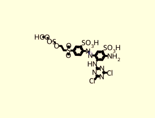 Nc1cc(Nc2nc(Cl)nc(Cl)n2)c(/N=N/c2ccc(S(=O)(=O)CCOSOOO)cc2S(=O)(=O)O)cc1S(=O)(=O)O